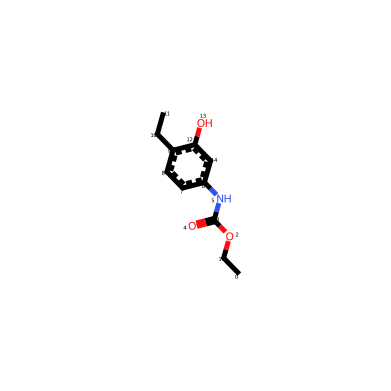 CCOC(=O)Nc1ccc(CC)c(O)c1